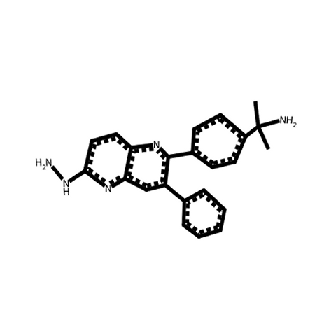 CC(C)(N)c1ccc(-c2nc3ccc(NN)nc3cc2-c2ccccc2)cc1